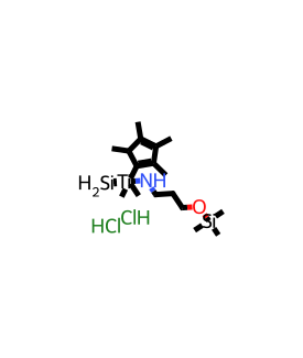 CC1=C(C)C(C)[C]([Ti]([CH3])([CH3])(=[SiH2])[NH]CCCO[Si](C)(C)C)=C1C.Cl.Cl